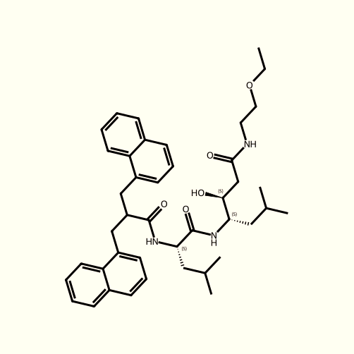 CCOCCNC(=O)C[C@H](O)[C@H](CC(C)C)NC(=O)[C@H](CC(C)C)NC(=O)C(Cc1cccc2ccccc12)Cc1cccc2ccccc12